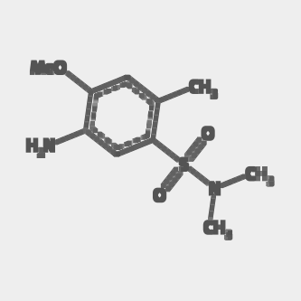 COc1cc(C)c(S(=O)(=O)N(C)C)cc1N